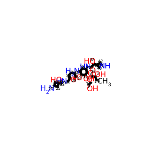 CC[C@@H](O)[C@H](OCCO)O[C@@H]1[C@@H](O)[C@H](O[C@@H]2CCC=C(CNCC3(O)CC(N)C3)O2)[C@@H](N)C[C@H]1NC(=O)C(O)C1CNC1